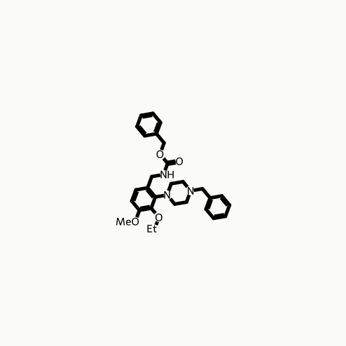 CCOc1c(OC)ccc(CNC(=O)OCc2ccccc2)c1N1CCN(Cc2ccccc2)CC1